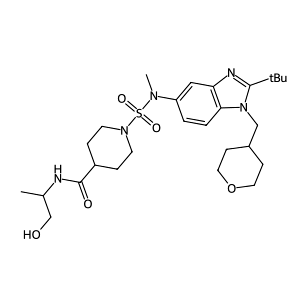 CC(CO)NC(=O)C1CCN(S(=O)(=O)N(C)c2ccc3c(c2)nc(C(C)(C)C)n3CC2CCOCC2)CC1